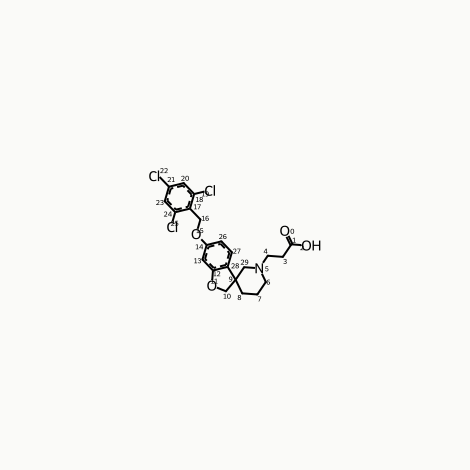 O=C(O)CCN1CCCC2(COc3cc(OCc4c(Cl)cc(Cl)cc4Cl)ccc32)C1